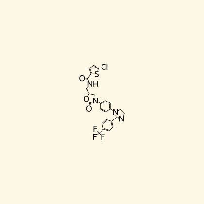 O=C(NC[C@H]1CN(c2ccc(N3CCN=C3c3ccc(C(F)(F)F)cc3)cc2)C(=O)O1)c1ccc(Cl)s1